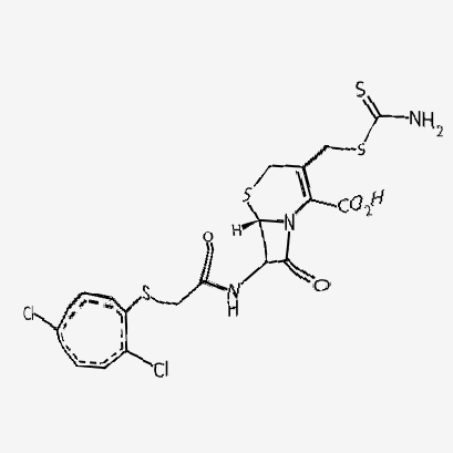 NC(=S)SCC1=C(C(=O)O)N2C(=O)C(NC(=O)CSc3cc(Cl)ccc3Cl)[C@@H]2SC1